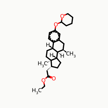 CCOC(=O)C[C@H]1CC[C@H]2[C@@H]3[C@H](C)Cc4cc(OC5CCCCO5)ccc4[C@H]3CC[C@]12C